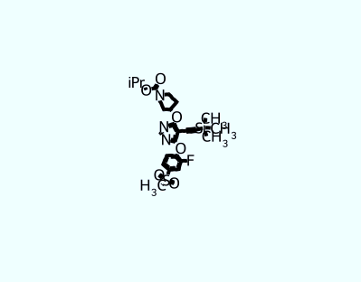 CC(C)OC(=O)N1CCC(Oc2ncnc(Oc3ccc(S(C)(=O)=O)cc3F)c2C#C[Si](C)(C)C)CC1